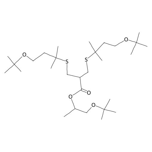 CC(COC(C)(C)C)OC(=O)C(CSC(C)(C)CCOC(C)(C)C)CSC(C)(C)CCOC(C)(C)C